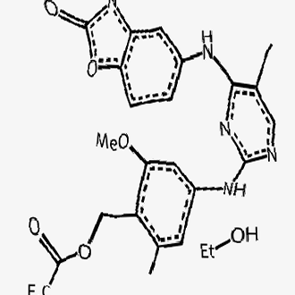 CCO.COc1cc(Nc2ncc(C)c(Nc3ccc4oc(=O)[nH]c4c3)n2)cc(C)c1COC(=O)C(F)(F)F